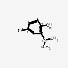 CN(C)c1cc(Cl)ccc1O